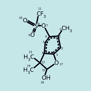 Cc1cc2c(cc1OS(=O)(=O)C(F)(F)F)C(C)(C)C(O)O2